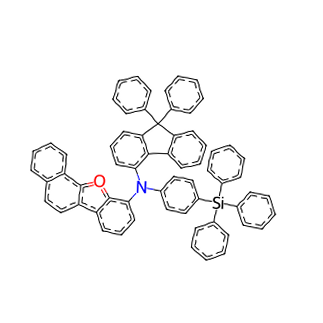 c1ccc(C2(c3ccccc3)c3ccccc3-c3c(N(c4ccc([Si](c5ccccc5)(c5ccccc5)c5ccccc5)cc4)c4cccc5c4oc4c6ccccc6ccc54)cccc32)cc1